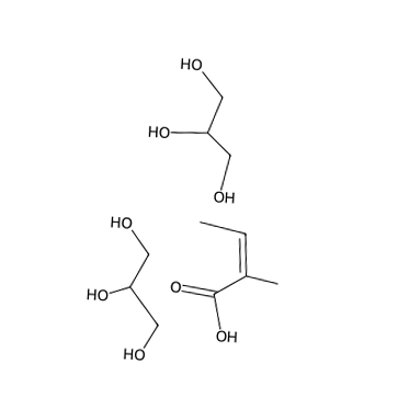 CC=C(C)C(=O)O.OCC(O)CO.OCC(O)CO